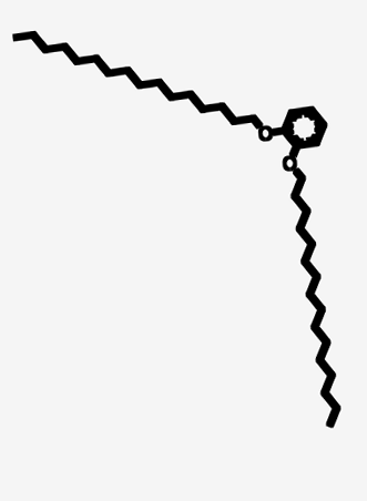 CCCCCCCCCCCCCCCCOc1ccccc1OCCCCCCCCCCCCCCCC